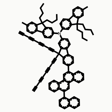 C#CC#CC#CC#CC1(C#CC#CC#CC#C)c2cc(-c3cc4c5ccccc5c(-c5cccc6ccccc56)cc4c4ccccc34)ccc2-c2ccc(N(c3ccc4c(c3)C(CCCC)(CCCC)c3cc(C)ccc3-4)c3ccc4c(c3)C(CCCC)(CCCC)c3cc(C)ccc3-4)cc21